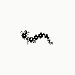 COC(=O)c1cc(Oc2nc3nc(-c4ccc(-c5ccc(CN6CC(COCCO)C6)cc5)cc4)c(Cl)cc3[nH]2)ccc1Cl